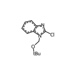 CC(C)(C)OCn1c(Cl)nc2ccccc21